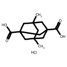 CC12CC3(C)CC(C(=O)O)(C1)CC(C(=O)O)(C2)C3.Cl